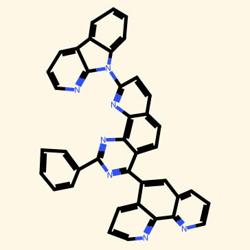 c1ccc(-c2nc(-c3cc4cccnc4c4ncccc34)c3ccc4ccc(-n5c6ccccc6c6cccnc65)nc4c3n2)cc1